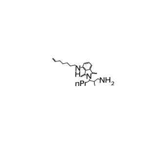 C=CCCCCCNc1cccc2c(=C)n(C(CCC)C(C)CN)c(=C)c12